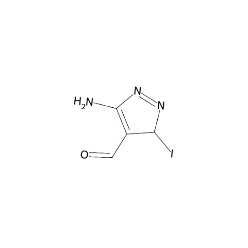 NC1=C(C=O)C(I)N=N1